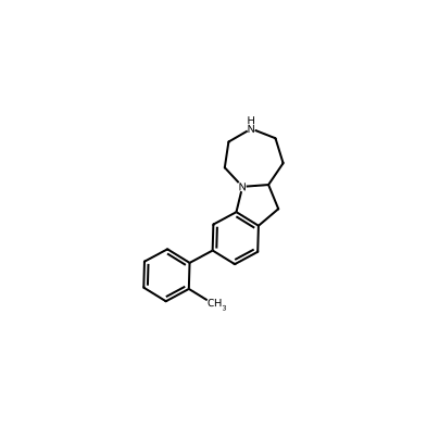 Cc1ccccc1-c1ccc2c(c1)N1CCNCCC1C2